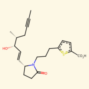 CC#CC[C@@H](C)[C@@H](O)C=C[C@H]1CCC(=O)N1CCCc1ccc(C(=O)O)s1